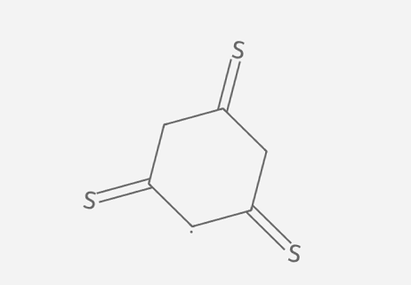 S=C1[CH]C(=S)CC(=S)C1